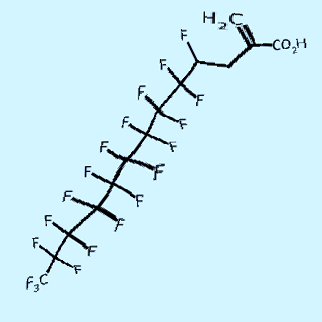 C=C(CC(F)C(F)(F)C(F)(F)C(F)(F)C(F)(F)C(F)(F)C(F)(F)C(F)(F)C(F)(F)C(F)(F)F)C(=O)O